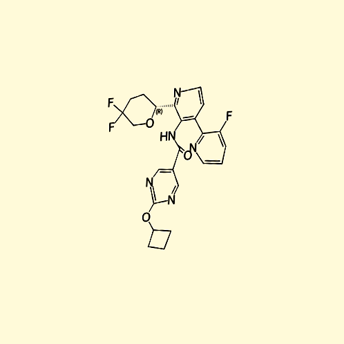 O=C(Nc1c(-c2ncccc2F)ccnc1[C@H]1CCC(F)(F)CO1)c1cnc(OC2CCC2)nc1